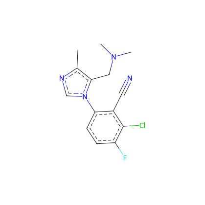 Cc1ncn(-c2ccc(F)c(Cl)c2C#N)c1CN(C)C